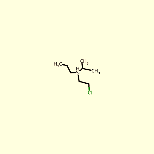 CCC[SiH](CCCl)C(C)C